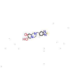 O=c1cc2n(cc1O)CCN(Cc1ccc3nsnc3c1)C2